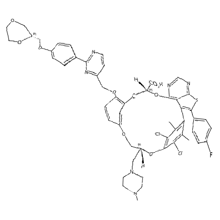 Cc1c(Cl)c2c(Cl)c(C)c1-c1c(-c3ccc(F)cc3)sc3ncnc(c13)O[C@@H](C(=O)O)Cc1cc(ccc1OCc1ccnc(-c3ccc(OC[C@H]4COCCO4)cc3)n1)OC[C@@H](CN1CCN(C)CC1)O2